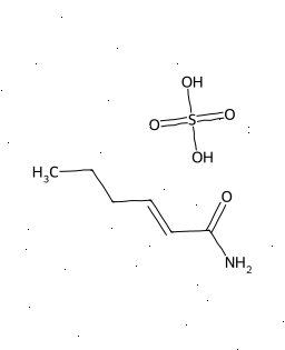 CCCC=CC(N)=O.O=S(=O)(O)O